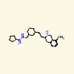 Cc1cccc2c1CNC(CCC1CCCC(CNNC3CCCC3)C1)C2